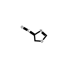 O=C=C1COC=N1